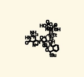 CC[N+](CC)(CC)C[C@H]1O[C@@H](n2cnc3c(=O)[nH]c(N)nc32)[C@H](OCOC(c2ccccc2[N+](=O)[O-])C(C)(C)C)[C@H]1O.O=P(O)(O)OP(=O)(O)O